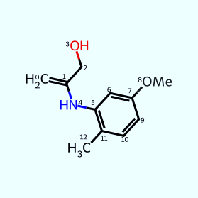 C=C(CO)Nc1cc(OC)ccc1C